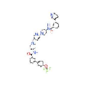 Cc1ccc(C(=O)NC2CCN(CC3C=CC(N4CCC(NC(=O)c5cccc(-c6cccnc6)c5)CC4)=NC3)CC2)cc1-c1ccc(OC(F)(F)F)cc1